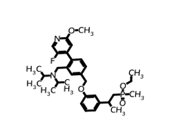 CCOP(C)(=O)CC(C)c1cccc(OCc2ccc(-c3cc(OC)ncc3F)c(CN(C(C)C)C(C)C)c2)c1